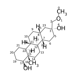 COC[C@@]1(O)CC[C@H]2[C@H](CC[C@@H]3[C@@H]2CC[C@]2(C)[C@@H](O)CCC[C@@H]32)C1